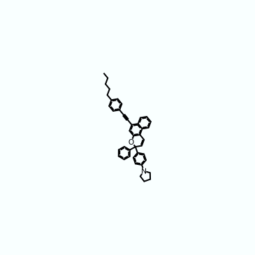 CCCCCc1ccc(C#Cc2cc3c(c4ccccc24)C=CC(c2ccccc2)(c2ccc(N4CCCC4)cc2)O3)cc1